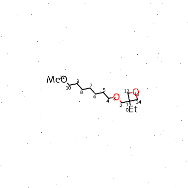 CCC1(COCCCCCCCOC)COC1